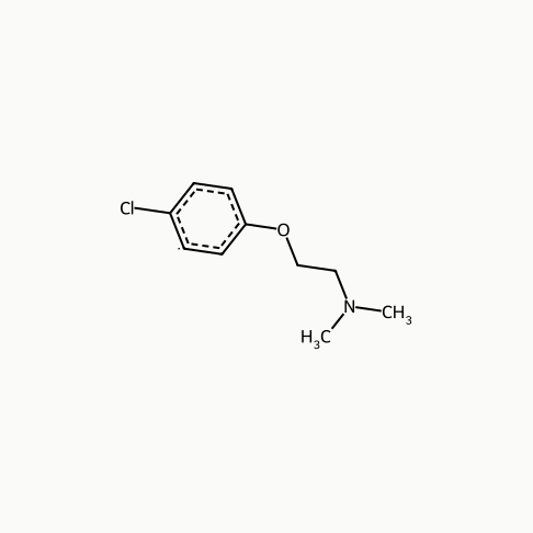 CN(C)CCOc1c[c]c(Cl)cc1